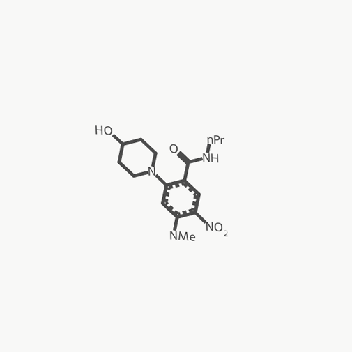 CCCNC(=O)c1cc([N+](=O)[O-])c(NC)cc1N1CCC(O)CC1